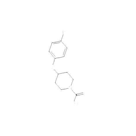 O=C(O)N1CCC(Oc2ccc(Br)cc2)CC1